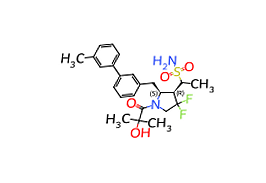 Cc1cccc(-c2cccc(C[C@H]3[C@@H](C(C)S(N)(=O)=O)C(F)(F)CN3C(=O)C(C)(C)O)c2)c1